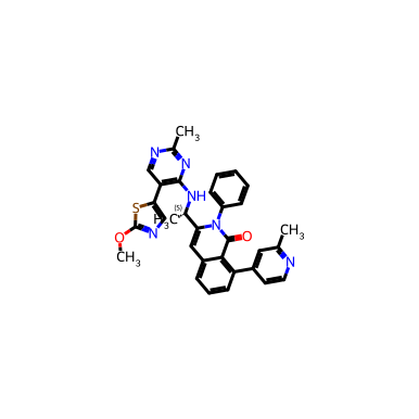 COc1ncc(-c2cnc(C)nc2N[C@@H](C)c2cc3cccc(-c4ccnc(C)c4)c3c(=O)n2-c2ccccc2)s1